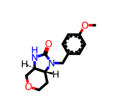 COc1ccc(CN2C(=O)N[C@@H]3COCC[C@H]32)cc1